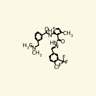 Cc1csc(NC(=O)c2cccc(CN(C)C)c2)c1C(=O)NN=Cc1ccc(Cl)c(C(F)(F)F)c1